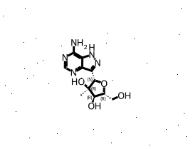 C[C@@]1(O)[C@H](O)[C@@H](CO)O[C@H]1c1n[nH]c2c(N)ncnc12